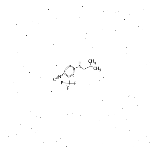 [C-]#[N+]c1ccc(NCC(C)C)cc1C(F)(F)F